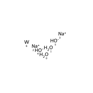 O.O.[Na+].[Na+].[OH-].[OH-].[W]